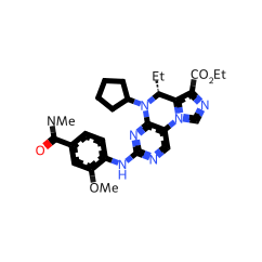 CCOC(=O)c1ncn2c1[C@@H](CC)N(C1CCCC1)c1nc(Nc3ccc(C(=O)NC)cc3OC)ncc1-2